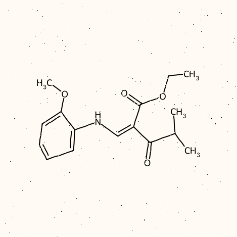 CCOC(=O)C(=CNc1ccccc1OC)C(=O)C(C)C